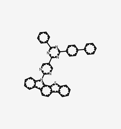 c1ccc(-c2ccc(-c3nc(-c4ccccc4)nc(-c4cnc(-n5c6ccccc6c6ccc7c8ccccc8sc7c65)nc4)n3)cc2)cc1